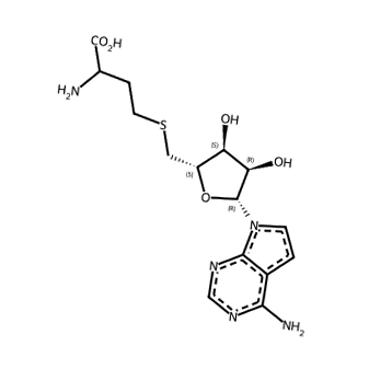 Nc1ncnc2c1ccn2[C@@H]1O[C@H](CSCCC(N)C(=O)O)[C@@H](O)[C@H]1O